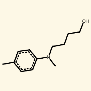 Cc1ccc(N(C)CCCCO)cc1